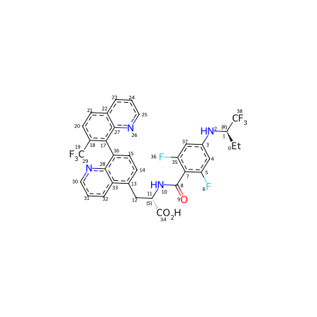 CC[C@@H](Nc1cc(F)c(C(=O)N[C@@H](Cc2ccc(-c3c(C(F)(F)F)ccc4cccnc34)c3ncccc23)C(=O)O)c(F)c1)C(F)(F)F